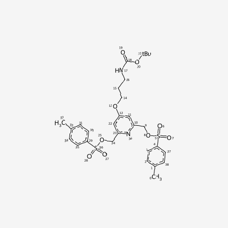 Cc1ccc(S(=O)(=O)OCc2cc(OCCCNC(=O)OC(C)(C)C)cc(COS(=O)(=O)c3ccc(C)cc3)n2)cc1